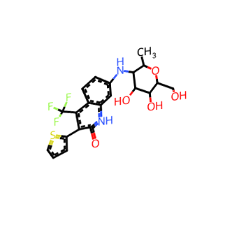 CC1OC(CO)C(O)C(O)C1Nc1ccc2c(C(F)(F)F)c(-c3cccs3)c(=O)[nH]c2c1